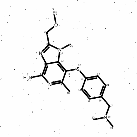 CCOCc1nc2c(N)nc(C)c(Sc3ccc(CN(C)C)cc3)c2n1C